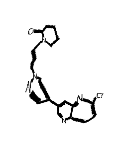 O=C1CCCCN1CCCn1cc(-c2cnc3ccc(Cl)nc3c2)cn1